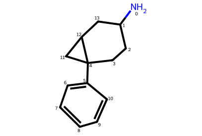 NC1CCC2(c3ccccc3)CC2C1